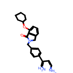 N/C=C\C(=C/N)c1ccc(CN2Cc3cccc(OC4CCCCC4)c3C2=O)cc1